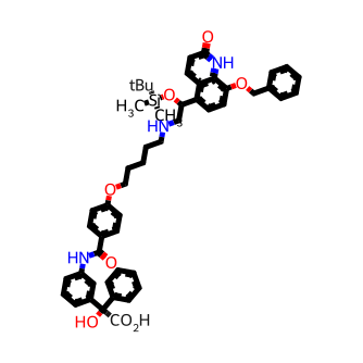 CC(C)(C)[Si](C)(C)OC(CNCCCCCOc1ccc(C(=O)Nc2cccc(C(O)(C(=O)O)c3ccccc3)c2)cc1)c1ccc(OCc2ccccc2)c2[nH]c(=O)ccc12